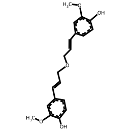 COc1cc(/C=C/COC/C=C/c2ccc(O)c(OC)c2)ccc1O